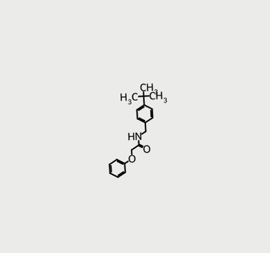 CC(C)(C)c1ccc(CNC(=O)COc2ccccc2)cc1